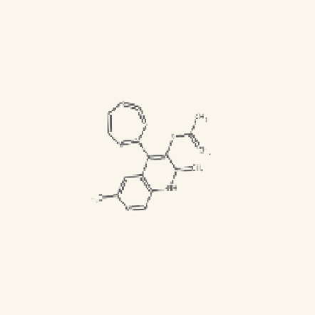 C=C(C)SC1=C(C2=CC=CC=C=C2)c2cc(C)ccc2NC1=C